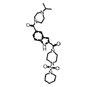 CC(C)N1CCN(C(=O)c2ccc3[nH]c(C(=O)N4CCN(S(=O)(=O)N5CCCCC5)CC4)cc3c2)CC1